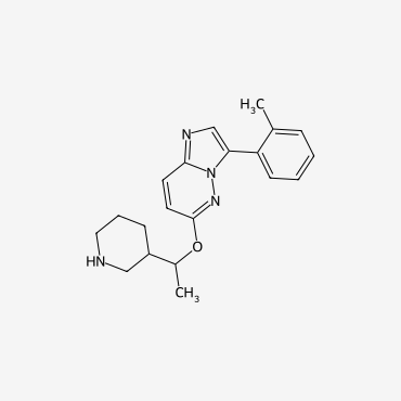 Cc1ccccc1-c1cnc2ccc(OC(C)C3CCCNC3)nn12